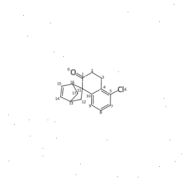 O=C1CCc2c(Cl)cccc2C12CC1C=CC2C1